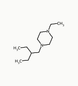 CCC(CC)CN1CCN(CC)CC1